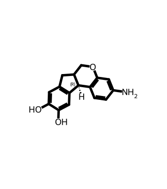 Nc1ccc2c(c1)OCC1Cc3cc(O)c(O)cc3[C@H]21